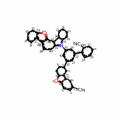 N#Cc1ccc2oc3ccc(-c4cc(-c5ccccc5C#N)cc(-n5c6ccccc6c6c7oc8ccccc8c7ccc65)c4)cc3c2c1